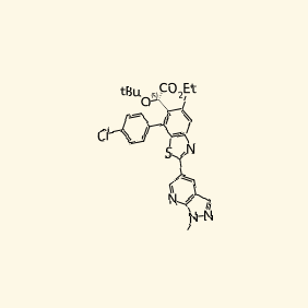 CCOC(=O)[C@@H](OC(C)(C)C)c1c(C)cc2nc(-c3cnc4c(cnn4C)c3)sc2c1-c1ccc(Cl)cc1